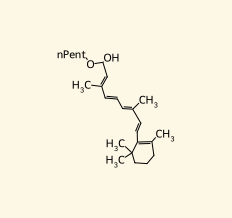 CCCCCOC(O)C=C(C)C=CC=C(C)C=CC1=C(C)CCCC1(C)C